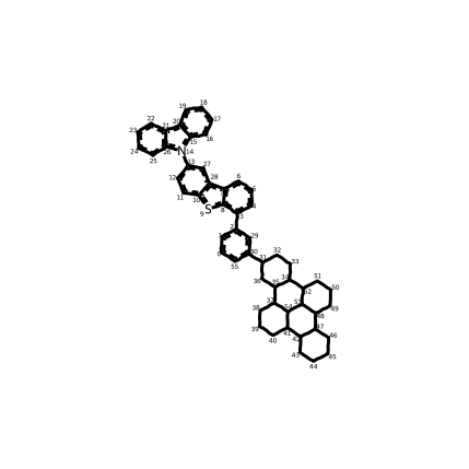 c1cc(-c2cccc3c2sc2ccc(-n4c5ccccc5c5ccccc54)cc23)cc(C2CCC3C(C2)C2CCCC4C5CCCCC5C5CCCC3C5C42)c1